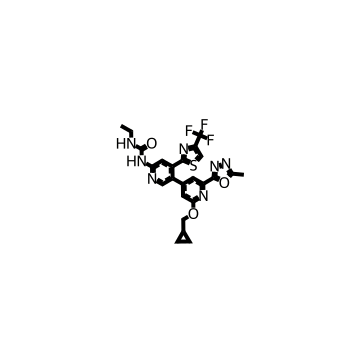 CCNC(=O)Nc1cc(-c2nc(C(F)(F)F)cs2)c(-c2cc(OCC3CC3)nc(-c3nnc(C)o3)c2)cn1